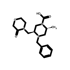 C[C@@H]1CN(Cc2ccccc2)[C@@H](CN2CCOCC2=O)CN1C(=O)O